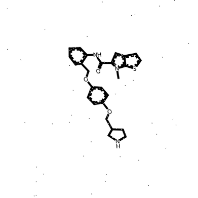 Cn1c(C(=O)Nc2ccccc2COc2ccc(OCC3CCNC3)cc2)cc2ccsc21